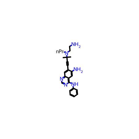 CCCN(CCN)C(C)(C)C#Cc1cc2ncnc(Nc3ccccc3)c2cc1N